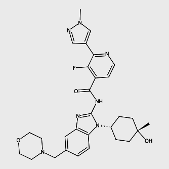 Cn1cc(-c2nccc(C(=O)Nc3nc4cc(CN5CCOCC5)ccc4n3[C@H]3CC[C@@](C)(O)CC3)c2F)cn1